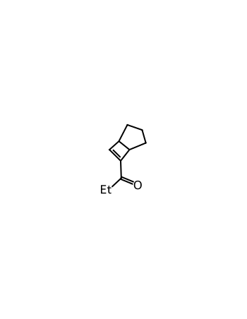 CCC(=O)C1=CC2CCCC12